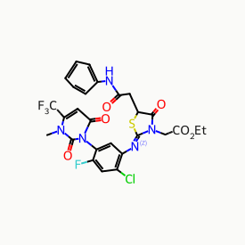 CCOC(=O)CN1C(=O)C(CC(=O)Nc2ccccc2)S/C1=N\c1cc(-n2c(=O)cc(C(F)(F)F)n(C)c2=O)c(F)cc1Cl